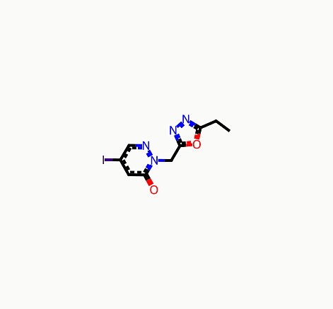 CCc1nnc(Cn2ncc(I)cc2=O)o1